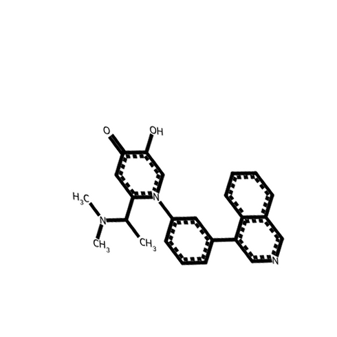 CC(c1cc(=O)c(O)cn1-c1cccc(-c2cncc3ccccc23)c1)N(C)C